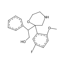 COc1ccc(F)cc1C1(C(CO)c2ccccc2)CNCCO1